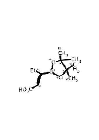 CCC(=CC(=O)O)B1OC(C)(C)C(C)(C)O1